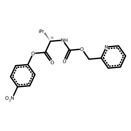 CC(C)[C@H](NC(=O)OCc1ccccn1)C(=O)Oc1ccc([N+](=O)[O-])cc1